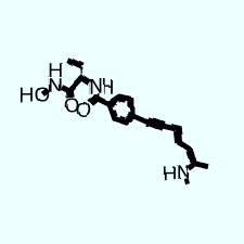 CC[C@H](NC(=O)c1ccc(C#C/C=C/C=C(/C)NC)cc1)C(=O)NO